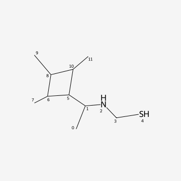 CC(NCS)C1C(C)C(C)C1C